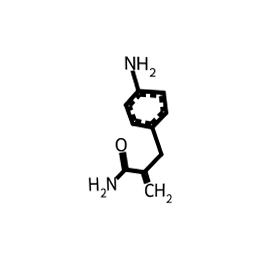 C=C(Cc1ccc(N)cc1)C(N)=O